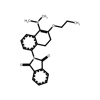 CCCOC1=C(N(C)C)c2cccc(N3C(=O)c4ccccc4C3=O)c2CC1